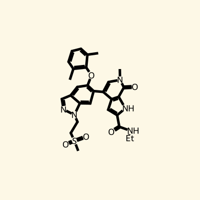 CCNC(=O)c1cc2c(-c3cc4c(cnn4CCS(C)(=O)=O)cc3Oc3c(C)cccc3C)cn(C)c(=O)c2[nH]1